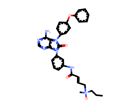 CCC[N+](C)([O-])C/C=C/C(=O)Nc1cccc(-n2c(=O)n(-c3ccc(Oc4ccccc4)cc3)c3c(N)ncnc32)c1